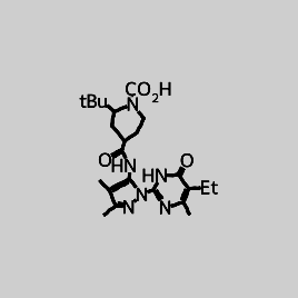 CCc1c(C)nc(-n2nc(C)c(C)c2NC(=O)C2CCN(C(=O)O)C(C(C)(C)C)C2)[nH]c1=O